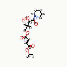 CC(C)OC(=O)/C=C/C(=O)OCC(C)(C)[C@@H](O)C(=O)N1CCCCC1